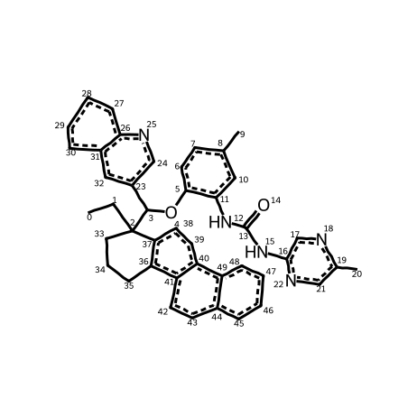 CCC1(C(Oc2ccc(C)cc2NC(=O)Nc2cnc(C)cn2)c2cnc3ccccc3c2)CCCc2c1ccc1c2ccc2ccccc21